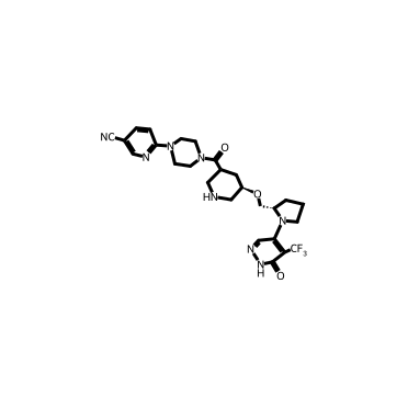 N#Cc1ccc(N2CCN(C(=O)C3CNC[C@H](OC[C@@H]4CCCN4c4cn[nH]c(=O)c4C(F)(F)F)C3)CC2)nc1